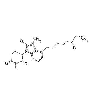 CCC(=O)CCCCCc1cccc2c1n(C)c(=O)n2C1CCC(=O)NC1=O